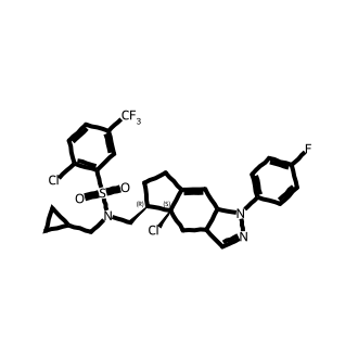 O=S(=O)(c1cc(C(F)(F)F)ccc1Cl)N(CC1CC1)C[C@H]1CCC2=CC3C(C=NN3c3ccc(F)cc3)C[C@@]21Cl